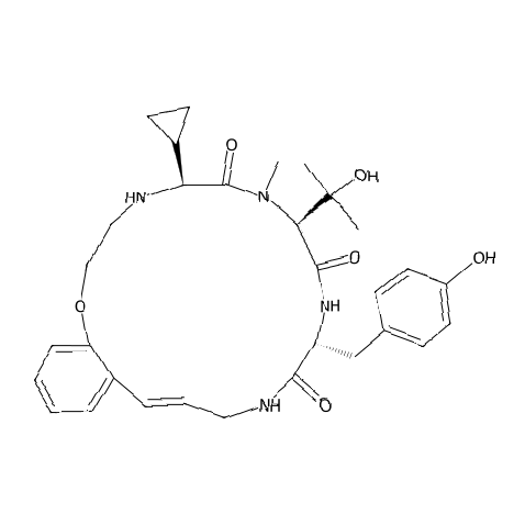 CN1C(=O)[C@H](C2CC2)NCCOc2ccccc2/C=C/CNC(=O)[C@@H](Cc2ccc(O)cc2)NC(=O)[C@@H]1C(C)(C)O